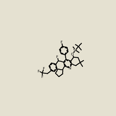 CC1(C)Cc2nc(C3CCCC3)c(C(F)c3ccc(CC(F)(F)F)cc3)c(-c3ccc(F)cc3)c2C(O[Si](C)(C)C(C)(C)C)C1